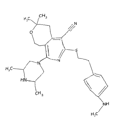 CNc1ccc(CCSc2nc(N3CC(C)NC(C)C3)c3c(c2C#N)CC(C)(C)OC3)cc1